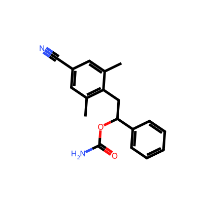 Cc1cc(C#N)cc(C)c1CC(OC(N)=O)c1ccccc1